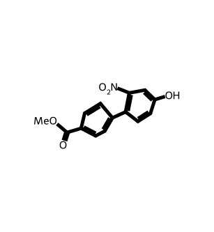 COC(=O)c1ccc(-c2ccc(O)cc2[N+](=O)[O-])cc1